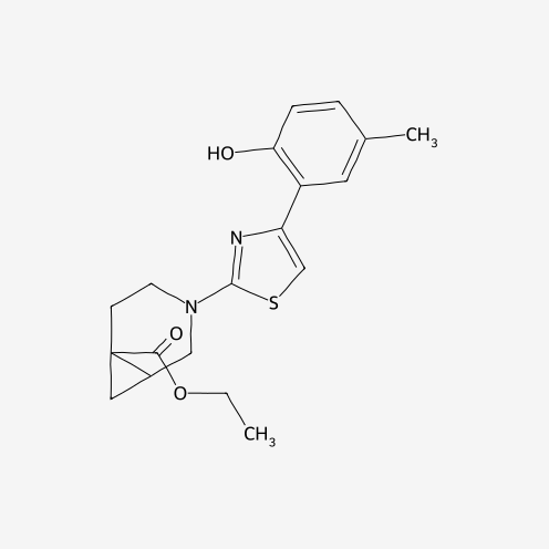 CCOC(=O)C12CCN(c3nc(-c4cc(C)ccc4O)cs3)CC1C2